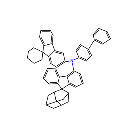 c1ccc(-c2ccc(N(c3ccc4c(c3)-c3ccccc3C43CCCCC3)c3cccc4c3-c3ccccc3C43C4CC5CC(C4)CC3C5)cc2)cc1